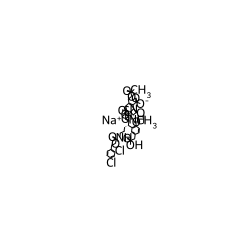 COc1ccc(CC(=O)O)cc1[C@H](CCCNC(=O)OCc1ccc(Cl)cc1Cl)C(=O)N[C@H]1C(=O)N2C(C(=O)[O-])=C(COC(C)=O)CS(=O)(=O)[C@@H]12.[Na+]